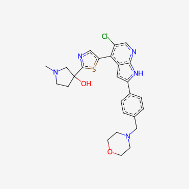 CN1CCC(O)(c2ncc(-c3c(Cl)cnc4[nH]c(-c5ccc(CN6CCOCC6)cc5)cc34)s2)C1